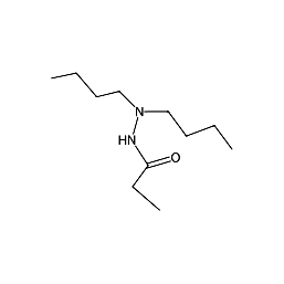 CCCCN(CCCC)NC(=O)CC